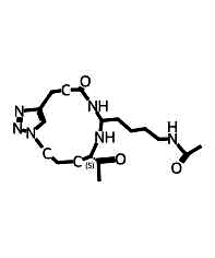 CC(=O)NCCCCC1NC(=O)CCc2cn(nn2)CCC[C@@H](C(C)=O)N1